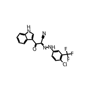 N#C/C(=N\Nc1ccc(Cl)c(C(F)(F)F)c1)C(=O)c1c[nH]c2ccccc12